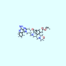 COCCc1nc2c(N)nc3ccccc3c2n1CCCN(CCCN1CCOCC1)Cc1ccc(CC(=O)OC)cc1